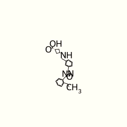 CCc1ccccc1-c1nc(-c2cccc(CN[C@H]3C[C@@H](C(=O)O)C3)c2)no1